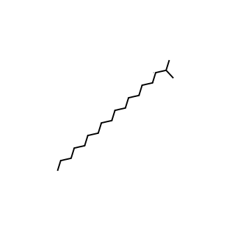 CCCCCCCCCCCCCCC[CH]C(C)C